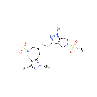 CCn1nc(CCC2Cc3c(c(C(C)C)nn3C)CN(S(C)(=O)=O)C2)c2c1CN(S(C)(=O)=O)C2